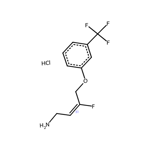 Cl.NC/C=C(/F)COc1cccc(C(F)(F)F)c1